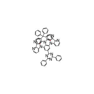 c1ccc(-c2nc(-c3ccccc3)nc(-c3cc(-n4c5cccnc5c5ncccc54)c(N4c5ccccc5C(c5ccccc5)(c5ccccc5)c5ccccc54)c(-n4c5cccnc5c5ncccc54)c3)n2)cc1